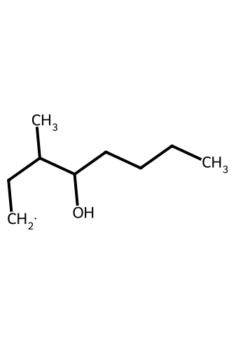 [CH2]CC(C)C(O)CCCC